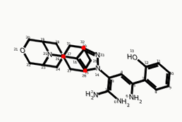 NC(N)=C(/C=C(\N)c1ccccc1O)n1cc(N2CC3COCC(C2)N3C2CCCCC2)cn1